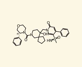 CS(=N)(=O)c1cn(CC2(O)CCN(C(=O)N3CCOC[C@H]3c3ccccc3)CC23CCCC3)c(=O)cc1-c1ccccc1